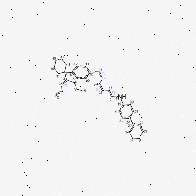 C=C/C=C(\CCC)C1(c2ccc(\C=C/C=C\C=C\Nc3ccc(C4=CCCC=C4)cc3)cc2)CCCCC1